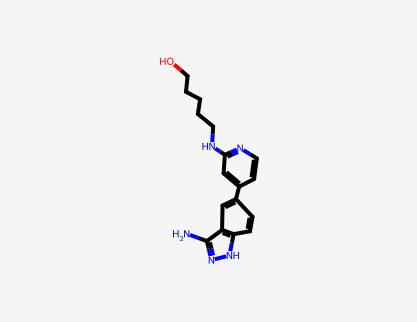 Nc1n[nH]c2ccc(-c3ccnc(NCCCCCO)c3)cc12